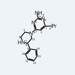 CC(C)c1cc(N2CCNC(c3ccccc3)C2)nc(N)n1